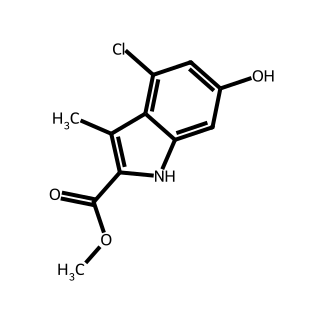 COC(=O)c1[nH]c2cc(O)cc(Cl)c2c1C